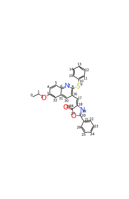 CCOc1ccc2nc(Sc3ccccc3)c(/C=C3/N=C(c4ccccc4)OC3=O)cc2c1